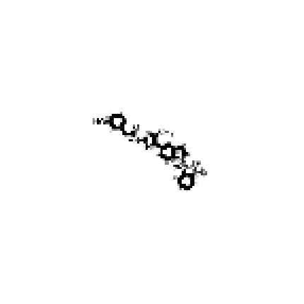 Cc1sc(NC(=O)Cc2cccc(O)c2)nc1-c1ccc2c(ccn2S(=O)(=O)c2ccccc2[N+](=O)[O-])c1